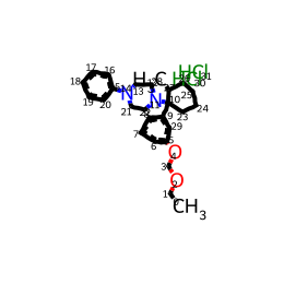 CCOCOc1cccc(C2(N3CCN(c4ccccc4)CC3)CCCCC2C)c1.Cl.Cl